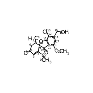 COC1=CC(=O)CC(C)C12Oc1c(Cl)c(CO)cc(OC)c1C2=O